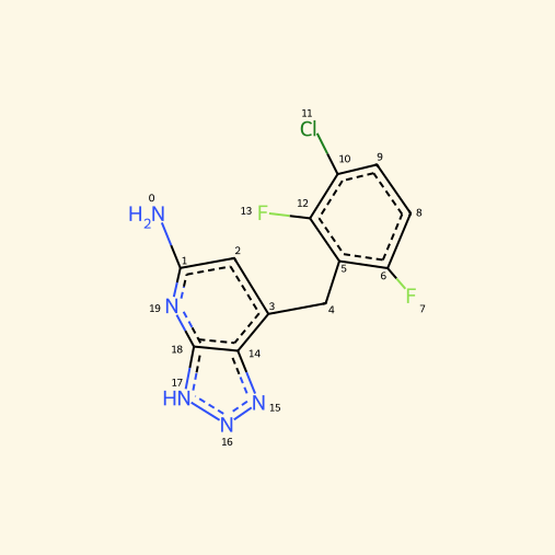 Nc1cc(Cc2c(F)ccc(Cl)c2F)c2nn[nH]c2n1